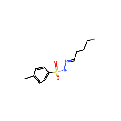 Cc1ccc(S(=O)(=O)N/N=C/CCCCl)cc1